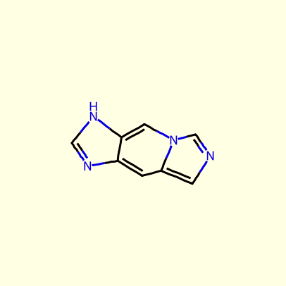 c1nc2cc3cncn3cc2[nH]1